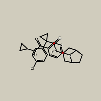 O=C(NC1CC1)c1ccc(N2C3CCC2CC(NC(=O)C2(c4ccc(Cl)cc4)CC2)C3)nc1